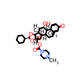 CN1CCN(C(=O)OCC(=O)[C@@]23O[C@H](C4CCCCC4)O[C@@H]2C[C@H]2[C@@H]4CCC5=CC(=O)C=C[C@]5(C)[C@H]4[C@@H](O)C[C@@]23C)CC1